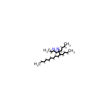 CCCCCCCCCC(CCCC)C(N)(CCCC)CCCC